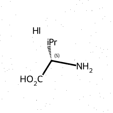 CC(C)[C@H](N)C(=O)O.I